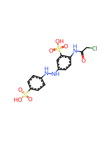 O=C(CCl)Nc1ccc(NNc2ccc(S(=O)(=O)O)cc2)cc1S(=O)(=O)O